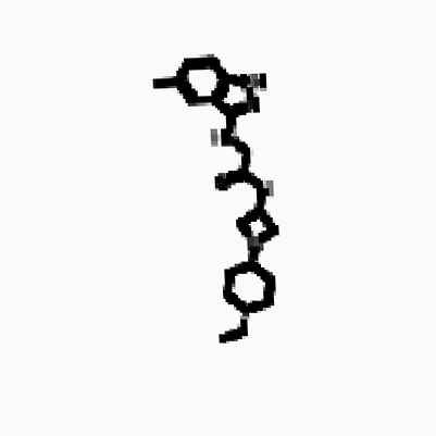 CC[C@H]1CC[C@@H](N2CC(NC(=O)CNc3n[nH]c4ccc(C)cc34)C2)CC1